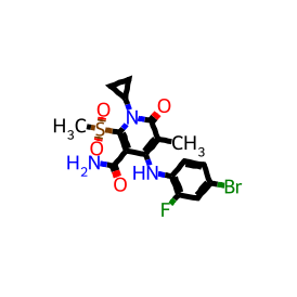 Cc1c(Nc2ccc(Br)cc2F)c(C(N)=O)c(S(C)(=O)=O)n(C2CC2)c1=O